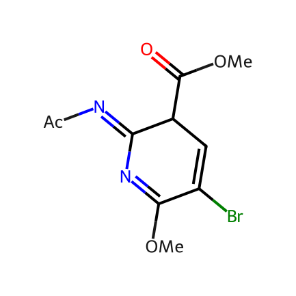 COC(=O)C1C=C(Br)C(OC)=NC1=NC(C)=O